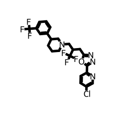 FC(F)(F)c1cccc(C2CCCN(CC(Cc3nnc(-c4ccc(Cl)cn4)o3)C(F)(F)F)C2)c1